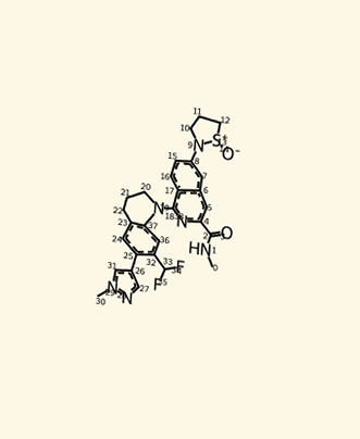 CNC(=O)c1cc2cc(N3CCC[S+]3[O-])ccc2c(N2CCCc3cc(-c4cnn(C)c4)c(C(F)F)cc32)n1